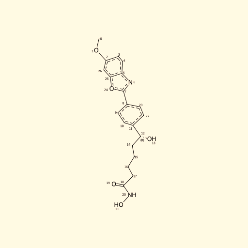 COc1ccc2nc(-c3ccc([C@H](O)CCCCC(=O)NO)cc3)oc2c1